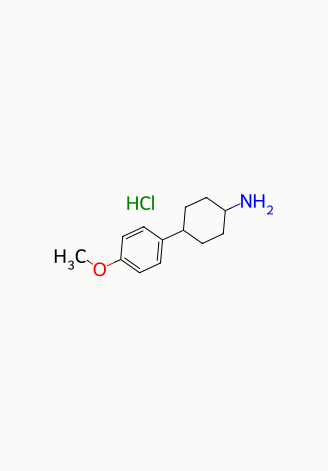 COc1ccc(C2CCC(N)CC2)cc1.Cl